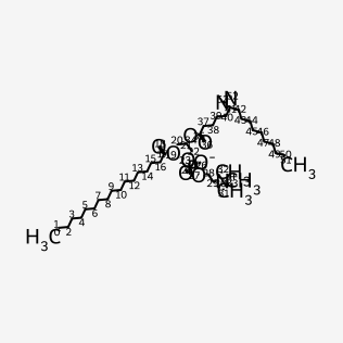 CCCCCCCCCCCCCCCCCC(=O)OCC(COP(=O)([O-])OCC[N+](C)(C)C)OC(=O)CCCCC1(CCCCCCCCCC)N=N1